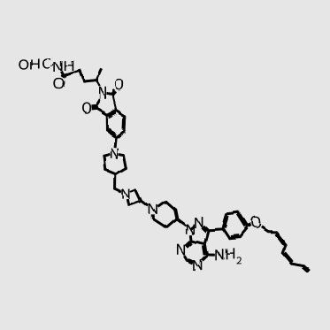 C=C/C=C\C=C/COc1ccc(-c2nn(C3CCN(C4CN(CC5CCN(c6ccc7c(c6)C(=O)N(C(C)CCC(=O)NC=O)C7=O)CC5)C4)CC3)c3ncnc(N)c23)cc1